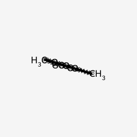 CCCCCCCCCCCCOCCOCCOCCOCCCC(=O)OCCCCCCC